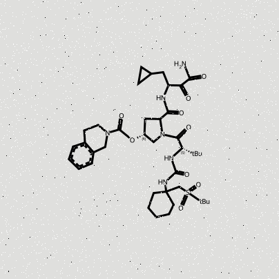 CC(C)(C)[C@H](NC(=O)NC1(CS(=O)(=O)C(C)(C)C)CCCCC1)C(=O)N1C[C@H](OC(=O)N2CCc3ccccc3C2)CC1C(=O)NC(CC1CC1)C(=O)C(N)=O